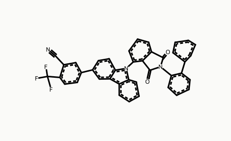 N#Cc1cc(-c2ccc3c(c2)c2ccccc2n3-c2cccc3c2C(=O)N(c2ccccc2-c2ccccc2)C3=O)ccc1C(F)(F)F